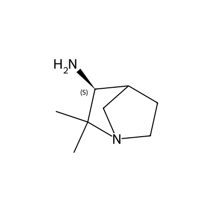 CC1(C)[C@@H](N)C2CCN1C2